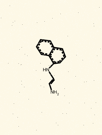 NC=CNc1cccc2ccccc12